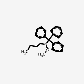 [CH2]CCCN(OC)C(c1ccccc1)(c1ccccc1)c1ccccc1